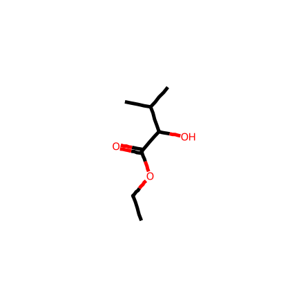 CCOC(=O)C(O)C(C)C